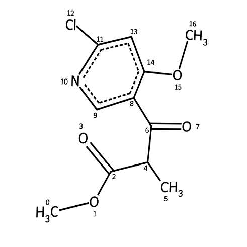 COC(=O)C(C)C(=O)c1cnc(Cl)cc1OC